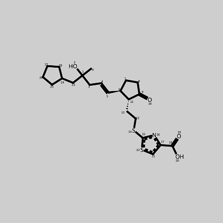 CC(O)(CC=C[C@H]1CCC(=O)[C@@H]1CCSc1nc(C(=O)O)cs1)CC1CCCC1